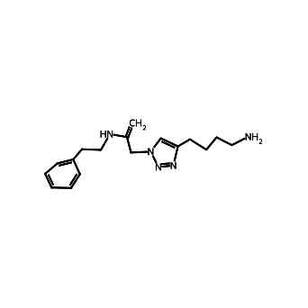 C=C(Cn1cc(CCCCN)nn1)NCCc1ccccc1